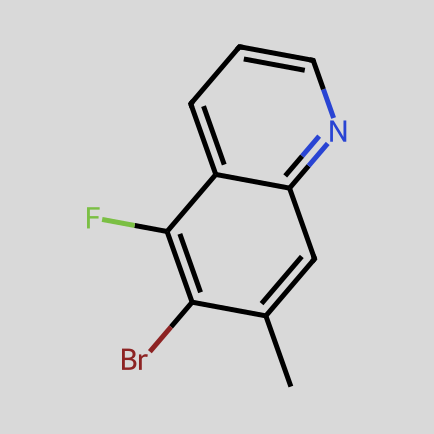 Cc1cc2ncccc2c(F)c1Br